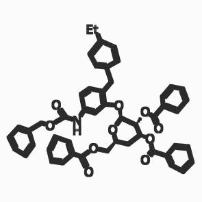 CCc1ccc(Cc2ccc(NC(=O)OCc3ccccc3)cc2O[C@@H]2O[C@H](COC(=O)c3ccccc3)C[C@H](OC(=O)c3ccccc3)[C@H]2OC(=O)c2ccccc2)cc1